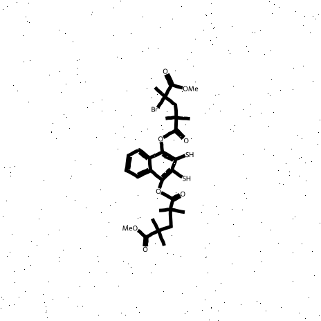 COC(=O)C(C)(C)CC(C)(C)C(=O)Oc1c(S)c(S)c(OC(=O)C(C)(C)CC(C)(Br)C(=O)OC)c2ccccc12